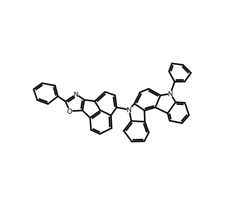 c1ccc(-c2nc3c(o2)-c2cccc4c(-n5c6ccccc6c6c7c8ccccc8n(-c8ccccc8)c7ccc65)ccc-3c24)cc1